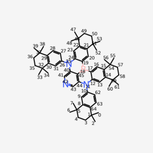 CC1(C)CCC(C)(C)c2cc(N3c4cc5c(cc4B4c6cc7c(cc6N(c6ccc8c(c6)C(C)(C)CCC8(C)C)c6cncc3c64)C(C)(C)CCC7(C)C)C(C)(C)CCC5(C)C)ccc21